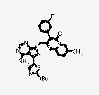 Cc1ccc2nc(Cn3nc(-c4cnc(C(C)(C)C)s4)c4c(N)ncnc43)c(-c3cccc(F)c3)c(=O)n2c1